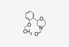 CCOc1ccccc1C1CN(C=O)CCO1